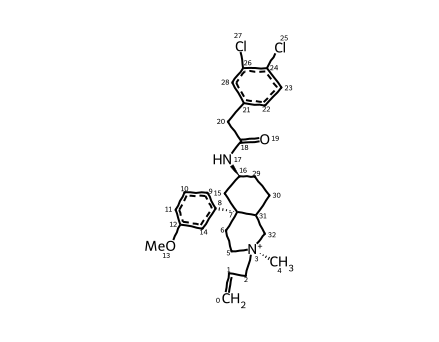 C=CC[N@@+]1(C)CC[C@@]2(c3cccc(OC)c3)C[C@@H](NC(=O)Cc3ccc(Cl)c(Cl)c3)CCC2C1